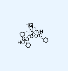 CC(C)C[C@H](NC(=O)OCc1ccccc1)C(=O)N[C@@H](Cc1ccccc1)C(=O)COP(=O)(O)c1ccccc1.Cl